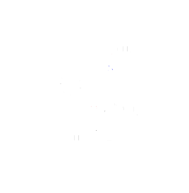 C=C(CC1Cc2c(cccc2OC)CC1=NOC)C(=O)OC(C)(C)C